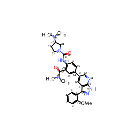 COc1ccccc1-c1n[nH]c2ncc(-c3ccc(NC(=O)N4CCC(N(C)C)C4)c(C(=O)N(C)C)c3)cc12